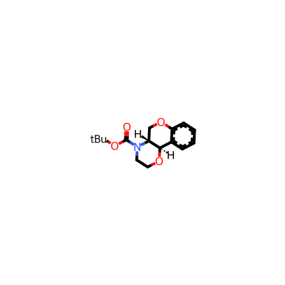 CC(C)(C)OC(=O)N1CCO[C@@H]2c3ccccc3OC[C@H]21